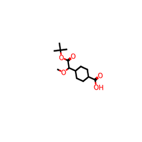 COC(C(=O)OC(C)(C)C)C1CCC(C(=O)O)CC1